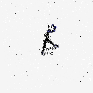 CC/C=C\C/C=C\C/C=C\C/C=C\C/C=C\CCCC(=O)OC[C@H](COC(=O)CCCCCCCCC/C=C\CCCCCC)OC(=O)CCCCCCC/C=C\C/C=C\CCCCC